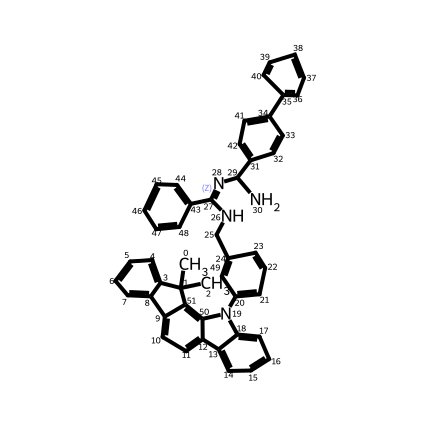 CC1(C)c2ccccc2-c2ccc3c4ccccc4n(-c4cccc(CN/C(=N\C(N)c5ccc(-c6ccccc6)cc5)c5ccccc5)c4)c3c21